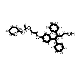 CC(OCCOc1ccc(C(=C(CCO)c2ccccc2)c2ccccc2)cc1)OC1CCCCO1